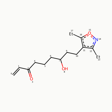 C=CC(=O)CCCC(O)CCc1c(CC)noc1CC